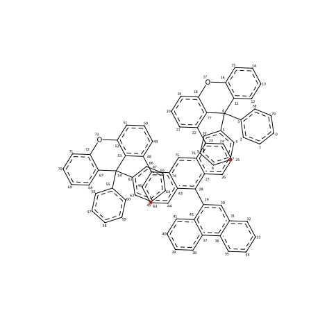 c1ccc(C2(c3ccccc3)c3ccccc3Oc3cccc(-c4cccc5c(-c6cc7ccccc7c7ccccc67)c6cccc(-c7cccc8c7C(c7ccccc7)(c7ccccc7)c7ccccc7O8)c6cc45)c32)cc1